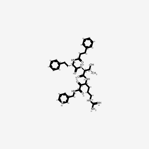 C[C@@H](O)[C@H](NC(=O)[C@H](CCc1ccccc1)NC(=O)CCc1ccccc1)C(=O)NC(CCCNC(=N)N)C(=O)C(=O)NCc1cccnc1